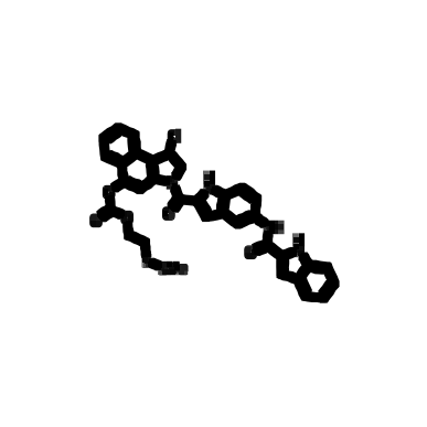 CSSCCOC(=O)Oc1cc2c(c3ccccc13)C(Cl)CN2C(=O)c1cc2cc(NC(=O)c3cc4ccccc4[nH]3)ccc2[nH]1